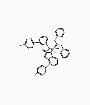 Cc1ccc(-c2cccc3c2C=C[CH]3[Hf]([CH3])([CH3])(=[C](Cc2ccccc2)Cc2ccccc2)[CH]2C=Cc3c(-c4ccc(C)cc4)cccc32)cc1